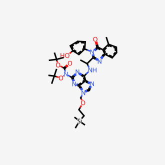 Cc1cccc2nc(C(C)Nc3nc(N(OC(C)(C)C)C(=O)OC(C)(C)C)nc4c3ncn4COCC[Si](C)(C)C)n(-c3cccc(O)c3)c(=O)c12